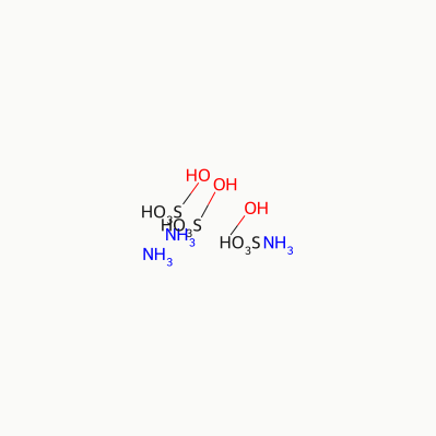 N.N.N.O=S(=O)(O)O.O=S(=O)(O)O.O=S(=O)(O)O